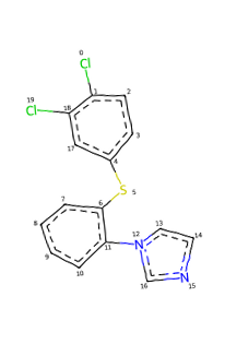 Clc1ccc(Sc2ccccc2-n2ccnc2)cc1Cl